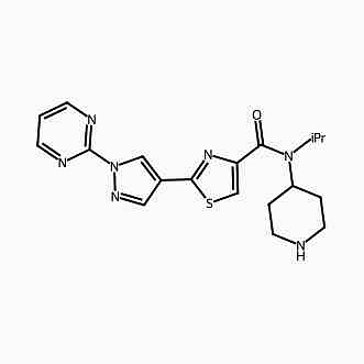 CC(C)N(C(=O)c1csc(-c2cnn(-c3ncccn3)c2)n1)C1CCNCC1